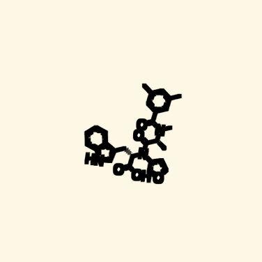 Cc1cc(C)cc(C(=O)N(C)[C@@H](C)C(=O)N(c2ccoc2)[C@@H](Cc2c[nH]c3ccccc23)C(=O)O)c1